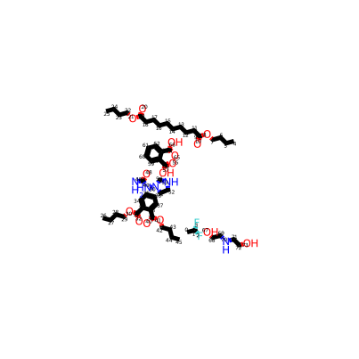 CC(F)F.CCCCOC(=O)CCCCCCCCC(=O)OCCCC.CCCCOC(=O)c1ccccc1C(=O)OCCCC.NC(=O)NN1CCNC1.O=C(O)c1ccccc1C(=O)O.OCCNCCO